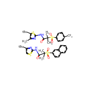 CC(C)(C)c1csc(NC(=O)C(C)(C)S(=O)(=O)c2ccc3ccccc3c2)n1.Cc1nc(NC(=O)C(C)(C)S(=O)(=O)c2ccc(C(F)(F)F)cc2)sc1C(C)(C)C